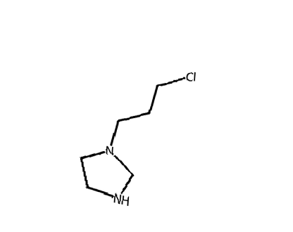 ClCCCN1CCNC1